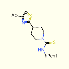 CCCCCNC(=S)N1CCC(c2nc(C(C)=O)cs2)CC1